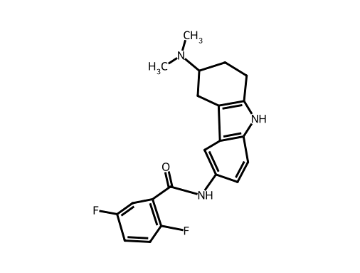 CN(C)C1CCc2[nH]c3ccc(NC(=O)c4cc(F)ccc4F)cc3c2C1